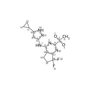 CS(=O)(=O)c1nc(Nc2cc(C3CC3)[nH]n2)c2c(n1)C(F)(F)CC2